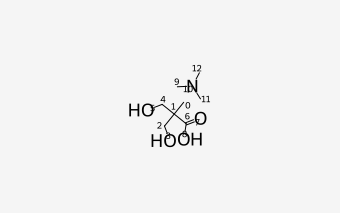 CC(CO)(CO)C(=O)O.CN(C)C